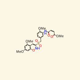 COC(=O)/C=C\C(=O)Nc1cc(CS(=O)(=O)C2=Cc3c(OC)cc(OC)cc3ON2)ccc1OC